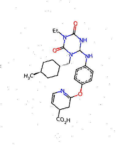 CCN1C(=O)NC(Nc2ccc(OC3=NC=CC(C(=O)O)C3)cc2)N(C[C@H]2CC[C@H](C)CC2)C1=O